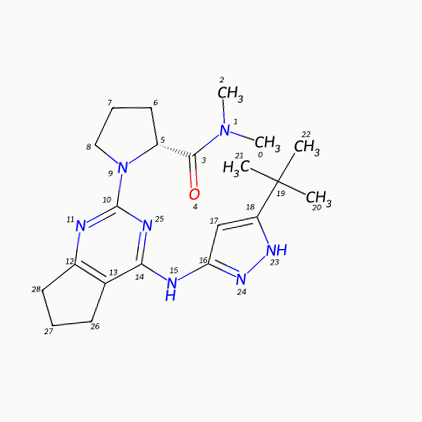 CN(C)C(=O)[C@H]1CCCN1c1nc2c(c(Nc3cc(C(C)(C)C)[nH]n3)n1)CCC2